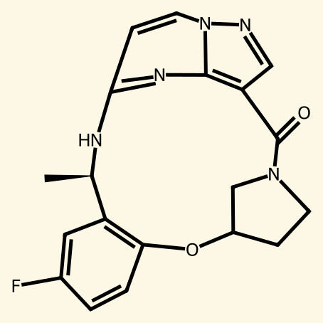 C[C@H]1Nc2ccn3ncc(c3n2)C(=O)N2CCC(C2)Oc2ccc(F)cc21